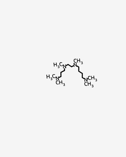 CN(C)CCCCN(C)CCN(C)CCCN(C)C